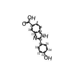 O=C(O)c1ccc2[nH]c(-c3ccc(O)cc3)nc2c1